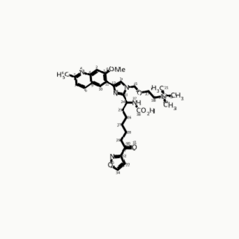 COc1cc2nc(C)ccc2cc1-c1cn(COCC[Si](C)(C)C)c(C(CCCCCC(=O)c2ccon2)NC(=O)O)n1